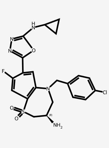 N[C@@H]1CN(Cc2ccc(Cl)cc2)c2cc(-c3nnc(NC4CC4)o3)c(F)cc2S(=O)(=O)C1